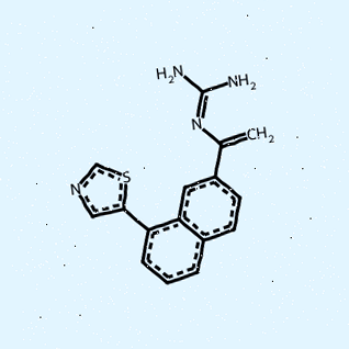 C=C(N=C(N)N)c1ccc2cccc(-c3cncs3)c2c1